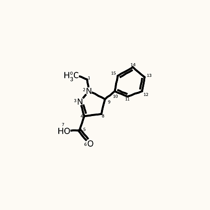 CCN1N=C(C(=O)O)CC1c1ccccc1